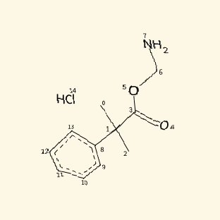 CC(C)(C(=O)OCN)c1ccccc1.Cl